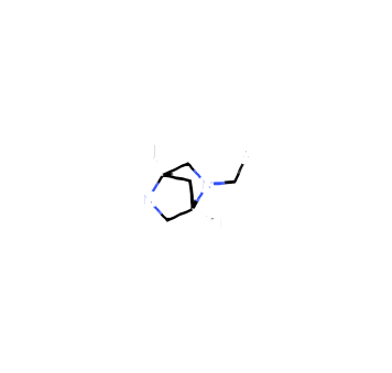 CC(=O)CN1C[C@H]2C[C@@H]1CN2